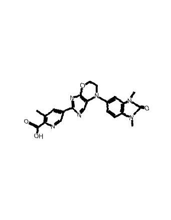 Cc1cc(-c2ncc3c(n2)OCCN3c2ccc3c(c2)n(C)c(=O)n3C)cnc1C(=O)O